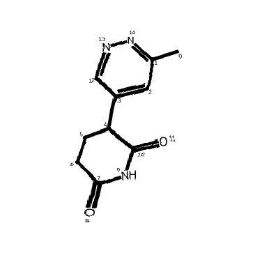 Cc1cc(C2CCC(=O)NC2=O)cnn1